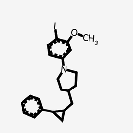 COc1cc(N2CCC(CC3CC3c3ccccc3)CC2)ccc1I